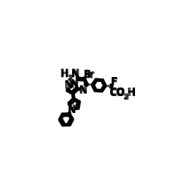 Nc1c(Br)c([C@H]2CC[C@@H](C(F)C(=O)O)CC2)nc2c(-c3ccn(-c4ccccc4)c3)cnn12